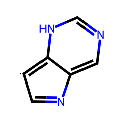 [c]1cnc2cnc[nH]c1-2